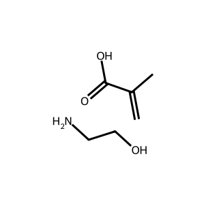 C=C(C)C(=O)O.NCCO